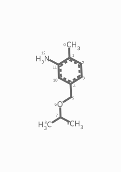 Cc1ccc(COC(C)C)cc1N